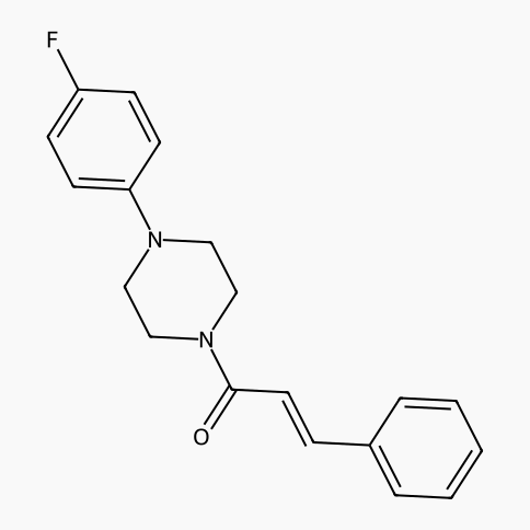 O=C(/C=C/c1ccccc1)N1CCN(c2ccc(F)cc2)CC1